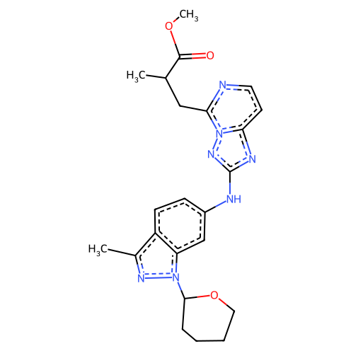 COC(=O)C(C)Cc1nccc2nc(Nc3ccc4c(C)nn(C5CCCCO5)c4c3)nn12